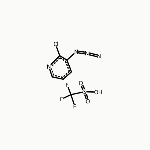 O=S(=O)(O)C(F)(F)F.[N-]=[N+]=Nc1cccnc1Cl